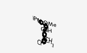 COc1ccc(NC(=O)N2CCN(c3cc(Cl)ccc3C)CC2)cc1C1CCN(C(C)C)CC1